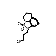 O=S1(=O)N(CCCCl)c2cccc3c2N1CCC3